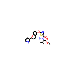 CCOC(=O)C(NC(=O)c1cnc(Oc2ccc3c(c2)CCC(c2cccnc2)O3)s1)C(C)C